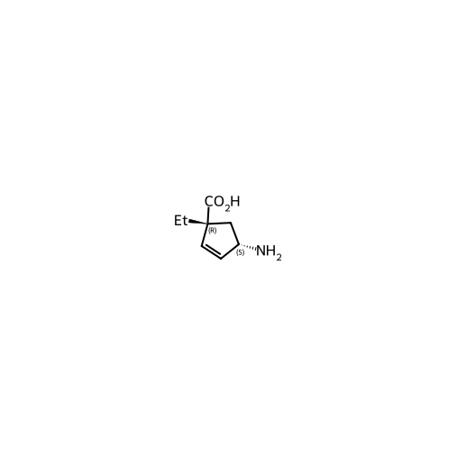 CC[C@]1(C(=O)O)C=C[C@@H](N)C1